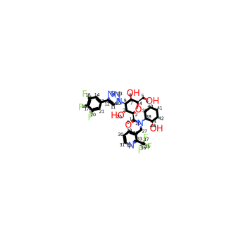 O=C([C@@H]1O[C@H](CO)[C@H](O)[C@H](n2cc(-c3cc(F)c(F)c(F)c3)nn2)[C@H]1O)N(Cc1cccnc1C(F)(F)F)[C@H]1CCCC[C@@H]1O